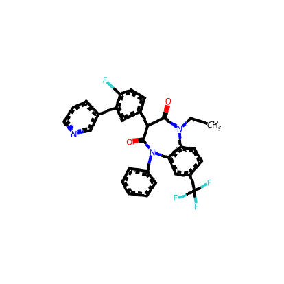 CCN1C(=O)C(c2ccc(F)c(-c3cccnc3)c2)C(=O)N(c2ccccc2)c2cc(C(F)(F)F)ccc21